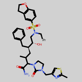 Cc1nc(CN2CCN(C(C(N)=O)C(C)C[C@@H](Cc3ccccc3)[C@@H](O)CN(CC(C)C)S(=O)(=O)c3ccc4c(c3)CCO4)C2=O)cs1